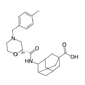 Cc1ccc(CN2CCO[C@@H](C(=O)NC3C4CC5CC3CC(C(=O)O)(C5)C4)C2)cc1